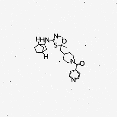 CC1(CC2CCN(C(=O)c3ccncc3)CC2)OCN=C(N[C@H]2C[C@@H]3CC[C@H]2C3)S1